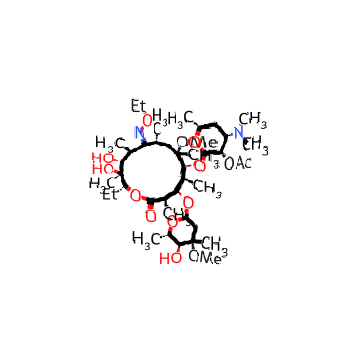 CCO/N=C1\[C@H](C)C[C@@](C)(OC)[C@H](OC2O[C@H](C)C[C@H](N(C)C)[C@H]2OC(C)=O)[C@@H](C)[C@H](OC2C[C@@](C)(OC)[C@@H](O)[C@H](C)O2)[C@@H](C)C(=O)O[C@H](CC)[C@@](C)(O)[C@H](O)[C@H]1C